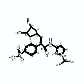 CS(=O)(=O)c1ccc(/C(=C\C2CC(F)C(F)C2)C(=O)Nc2ccn(C(F)F)n2)cc1